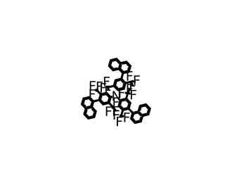 FC(F)(F)c1cc(N(c2cc(C(F)(F)F)c(-c3cccc4ccccc34)cc2C(F)(F)F)c2cc(C(F)(F)F)c(-c3cccc4ccccc34)cc2C(F)(F)F)c(C(F)(F)F)cc1-c1cccc2ccccc12